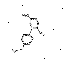 COc1ccc(N)c(-c2ccc(CN)cc2)c1